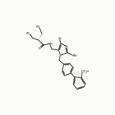 CCCCc1nc(CC)c(CNC(=O)[C@@H](CS)CC(C)C)n1Cc1ccc(-c2ccccc2C(=O)O)cc1